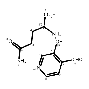 NC(=O)CC[C@H](N)C(=O)O.O=Cc1ccncc1O